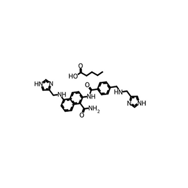 CCCCC(=O)O.NC(=O)c1c(NC(=O)c2ccc(CNCc3c[nH]cn3)cc2)ccc2c(NCc3c[nH]cn3)cccc12